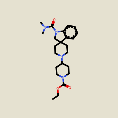 CCOC(=O)N1CCC(N2CCC3(CC2)CN(C(=O)N(C)C)c2ccccc23)CC1